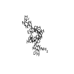 CC[C@@]12COP(=O)(O)O[C@@H]3[C@H](O)[C@@H](COP(=O)(O)O[C@H]1[C@@H](O)[C@H](n1cnc4c(N)ncnc41)O2)O[C@H]3n1cnc2c(=O)[nH]c(N)nc21